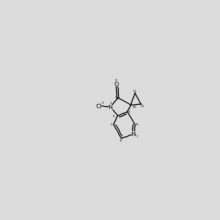 O=C1N(Cl)c2ccncc2C12CC2